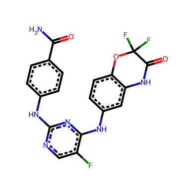 NC(=O)c1ccc(Nc2ncc(F)c(Nc3ccc4c(c3)NC(=O)C(F)(F)O4)n2)cc1